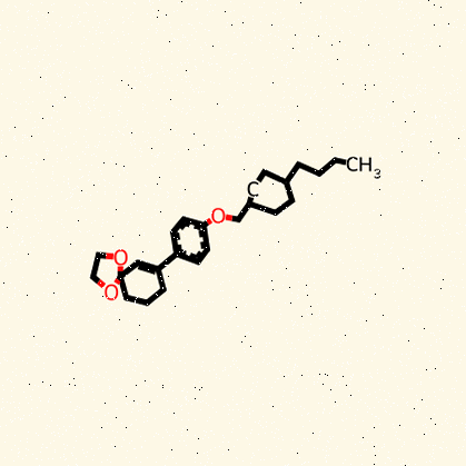 CCCCC1CCC(COc2ccc(C3=CC4(CCC3)OCCO4)cc2)CC1